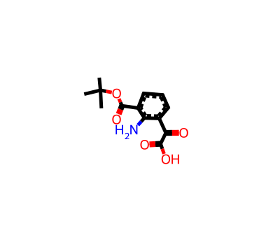 CC(C)(C)OC(=O)c1cccc(C(=O)C(=O)O)c1N